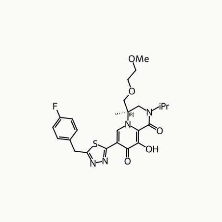 COCCOC[C@@]1(C)CN(C(C)C)C(=O)c2c(O)c(=O)c(-c3nnc(Cc4ccc(F)cc4)s3)cn21